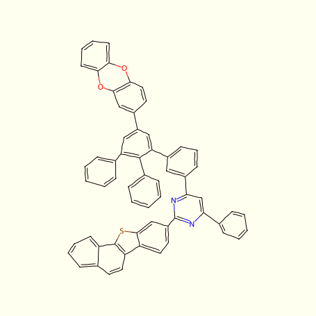 c1ccc(-c2cc(-c3cccc(-c4cc(-c5ccc6c(c5)Oc5ccccc5O6)cc(-c5ccccc5)c4-c4ccccc4)c3)nc(-c3ccc4c(c3)sc3c5ccccc5ccc43)n2)cc1